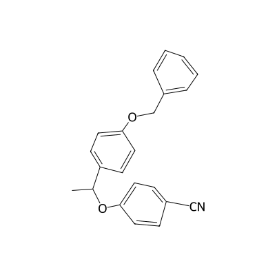 CC(Oc1ccc(C#N)cc1)c1ccc(OCc2ccccc2)cc1